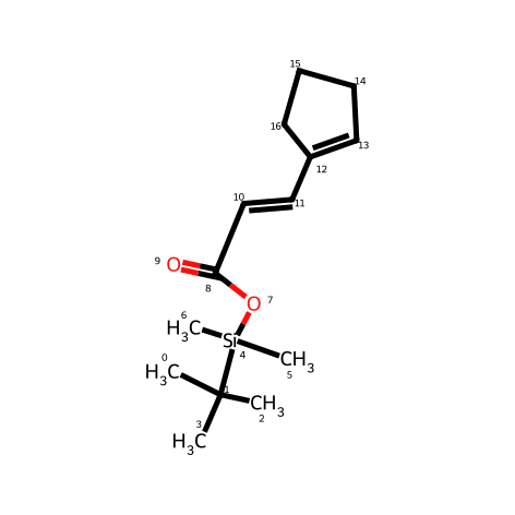 CC(C)(C)[Si](C)(C)OC(=O)/C=C/C1=CCCC1